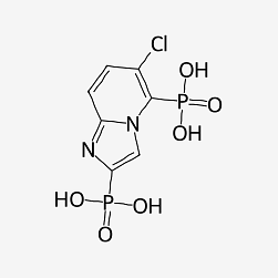 O=P(O)(O)c1cn2c(P(=O)(O)O)c(Cl)ccc2n1